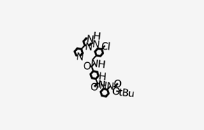 CC(C)(C)OC(=O)Nc1ccccc1NC(=O)c1ccc(C(=O)NCc2ccc(Cl)c(Nc3nccc(-c4cccnc4)n3)c2)cc1